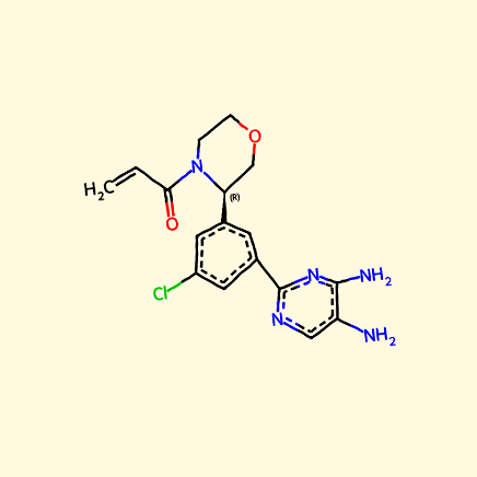 C=CC(=O)N1CCOC[C@H]1c1cc(Cl)cc(-c2ncc(N)c(N)n2)c1